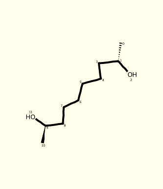 C[C@H](O)CCCCCC[C@@H](C)O